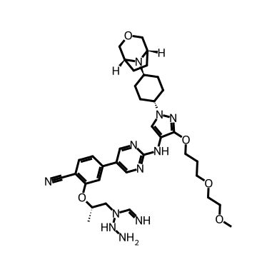 COCCOCCCOc1nn([C@H]2CC[C@H](N3[C@@H]4CC[C@H]3COC4)CC2)cc1Nc1ncc(-c2ccc(C#N)c(O[C@@H](C)CN(C=N)NN)c2)cn1